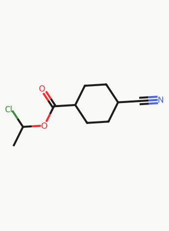 CC(Cl)OC(=O)C1CCC(C#N)CC1